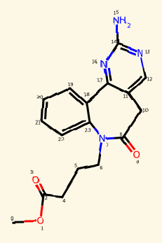 COC(=O)CCCN1C(=O)Cc2cnc(N)nc2-c2ccccc21